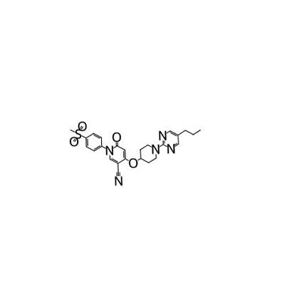 CCCc1cnc(N2CCC(Oc3cc(=O)n(-c4ccc(S(C)(=O)=O)cc4)cc3C#N)CC2)nc1